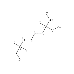 CCC(C)(C)OCCCC(C)(CC)OC